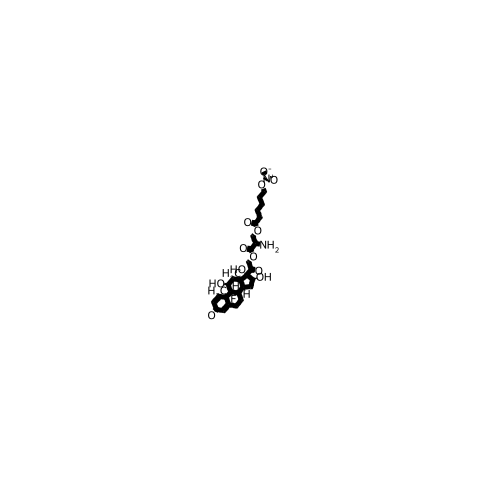 C[C@]12C=CC(=O)C=C1CC[C@H]1[C@@H]3C[C@@H](O)[C@](O)(C(=O)COC(=O)C(N)COC(=O)CCCCCO[N+](=O)[O-])[C@@]3(C)C[C@H](O)[C@@]12F